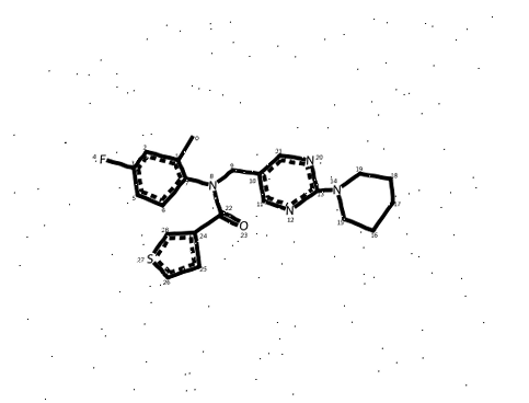 Cc1cc(F)ccc1N(Cc1cnc(N2CCCCC2)nc1)C(=O)c1ccsc1